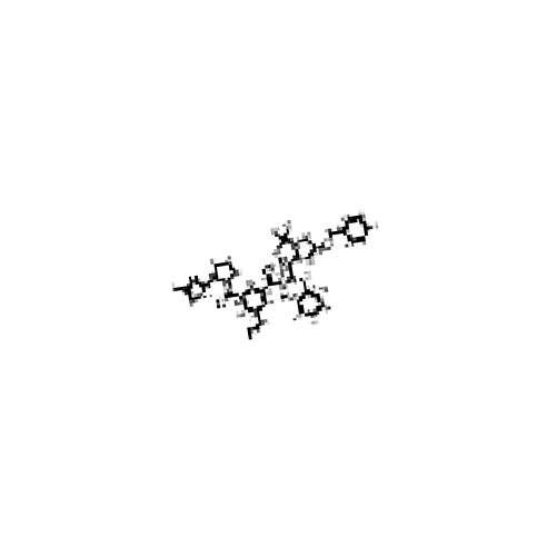 Cc1csc(C2CCCN2C(=O)c2cc(CF)cc(C(=O)N[C@@H](Cc3ccccc3)[C@H](O)[C@H]3C[C@@H](OCc4ccccc4)CN3C(C)(C)C)c2)n1